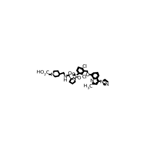 Cc1cc(-n2ccnc2)c2cccc(OCc3c(Cl)ccc(S(=O)(=O)N4CCC[C@H]4C(=O)NCC4CCN(CC(=O)O)CC4)c3Cl)c2n1